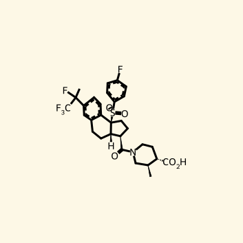 C[C@H]1CN(C(=O)[C@@H]2CC[C@@]3(S(=O)(=O)c4ccc(F)cc4)c4ccc(C(C)(F)C(F)(F)F)cc4CC[C@@H]23)CC[C@@H]1C(=O)O